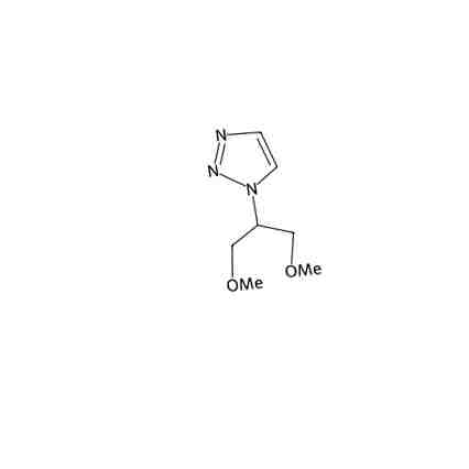 COCC(COC)n1ccnn1